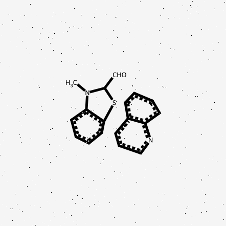 CN1c2ccccc2SC1C=O.c1ccc2ncccc2c1